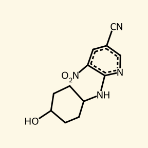 N#Cc1cnc(NC2CCC(O)CC2)c([N+](=O)[O-])c1